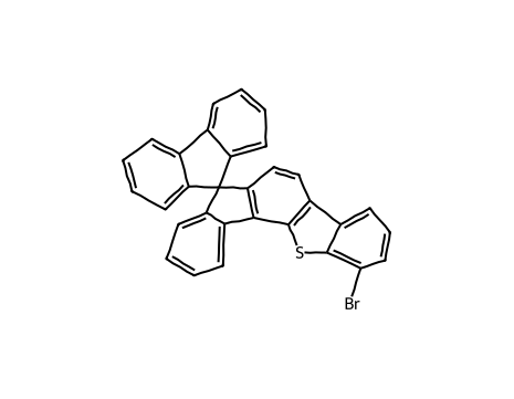 Brc1cccc2c1sc1c3c(ccc12)C1(c2ccccc2-c2ccccc21)c1ccccc1-3